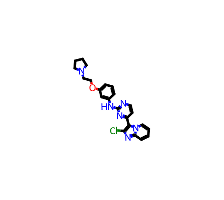 Clc1nc2ccccn2c1-c1ccnc(Nc2cccc(OCCN3CCCC3)c2)n1